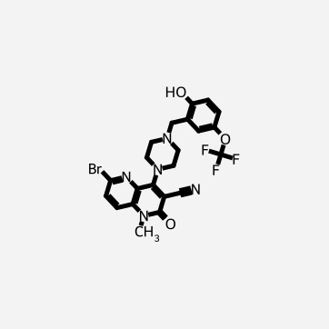 Cn1c(=O)c(C#N)c(N2CCN(Cc3cc(OC(F)(F)F)ccc3O)CC2)c2nc(Br)ccc21